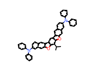 CC(C)c1c2oc3cc4cc(N(c5ccccc5)c5ccccc5)ccc4cc3c2cc2c1oc1cc3cc(N(c4ccccc4)c4ccccc4)ccc3cc12